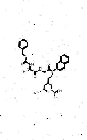 CC(C)[C@H](NC(=O)OCc1ccccc1)C(=O)NCC(=O)N(OCC(CNC(=N)N)C[C@H](N)C(=O)O)c1ccc2ccccc2c1